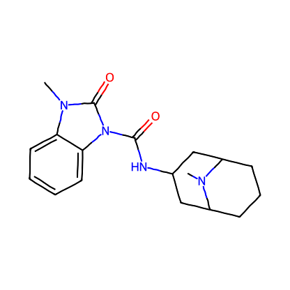 CN1C2CCCC1CC(NC(=O)n1c(=O)n(C)c3ccccc31)C2